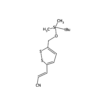 CC(C)(C)[Si](C)(C)OCC1=CC=C(C=CC#N)SS1